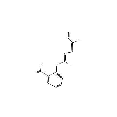 C=C/C(O)=C\C=C(/N)Nc1ccccc1C(=O)O